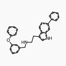 c1ccc(Oc2cccc(CNCCc3c[nH]c4cc(-c5ccccc5)ccc34)c2)cc1